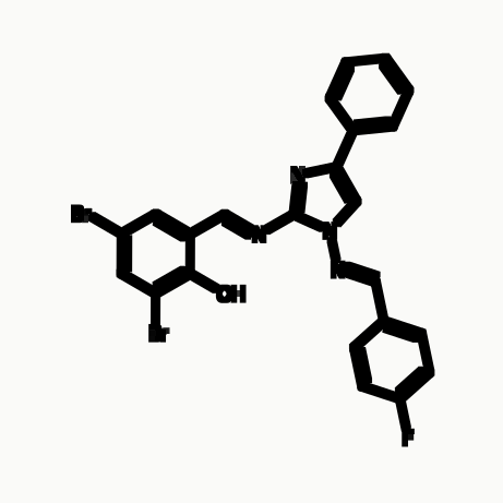 Oc1c(Br)cc(Br)cc1C=Nc1nc(-c2ccccc2)cn1N=Cc1ccc(F)cc1